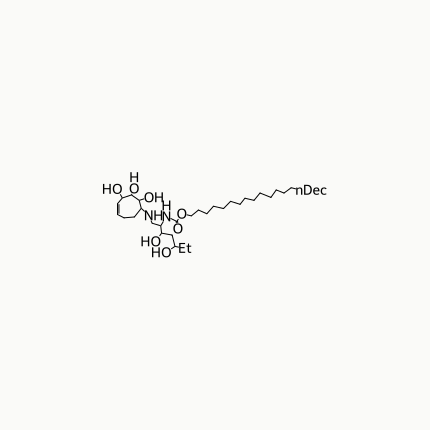 CCCCCCCCCCCCCCCCCCCCCCCCOC(=O)NC(CNC1CC/C=C\C(O)C(O)C1O)C(O)CC(O)CC